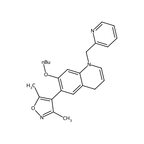 CCCCOc1cc2c(cc1-c1c(C)noc1C)CC=CN2Cc1ccccn1